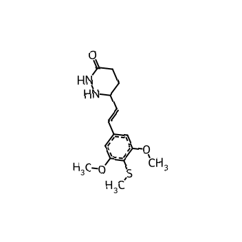 COc1cc(/C=C/C2CCC(=O)NN2)cc(OC)c1SC